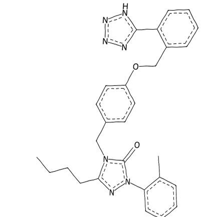 CCCCc1nn(-c2ccccc2C)c(=O)n1Cc1ccc(OCc2ccccc2-c2nnn[nH]2)cc1